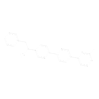 Cc1cccc(-c2ccc(-c3ccc(C(N)Cc4ccccc4)cc3)cc2)n1